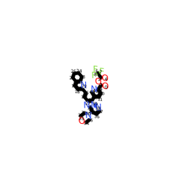 O=C(OC(=O)C(F)(F)F)c1ccc(-c2c(/C=C/c3ccc4c(n3)CCCC4)nc3c(N4CCOCC4)ccnn23)cn1